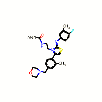 CNC(=O)NCCn1c(-c2ccc(CN3CCOCC3)cc2C)cs/c1=N\c1ccc(F)c(C)c1